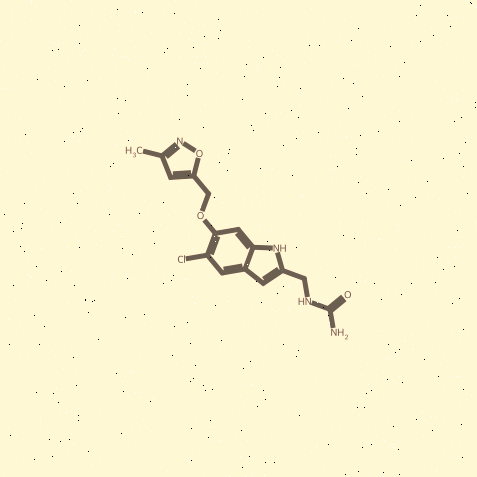 Cc1cc(COc2cc3[nH]c(CNC(N)=O)cc3cc2Cl)on1